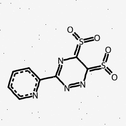 O=S(=O)=C1N=NC(c2ccccn2)=NC1=S(=O)=O